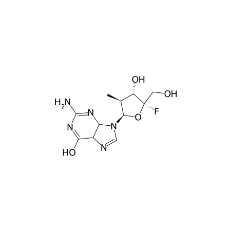 C[C@@H]1[C@H](N2C=NC3C(O)=NC(N)=NC32)O[C@](F)(CO)[C@H]1O